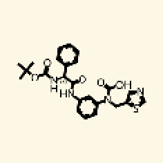 CC(C)(C)OC(=O)N[C@H](C(=O)Nc1cccc(N(Cc2cncs2)C(=O)O)c1)c1ccccc1